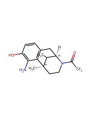 CC1[C@H]2Cc3ccc(O)c(N)c3[C@]1(C)CCN2C(=O)C(F)(F)F